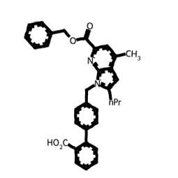 CCCc1cc2c(C)cc(C(=O)OCc3ccccc3)nc2n1Cc1ccc(-c2ccccc2C(=O)O)cc1